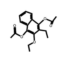 CCOc1c(CC)c(OC(C)=O)c2ccccc2c1OC(C)=O